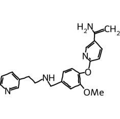 C=C(N)c1ccc(Oc2ccc(CNCCc3cccnc3)cc2OC)nc1